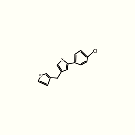 Clc1ccc(-c2cc(Cc3ccsc3)cs2)cc1